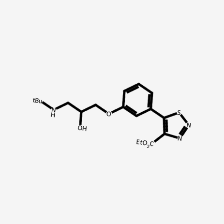 CCOC(=O)c1nnsc1-c1cccc(OCC(O)CNC(C)(C)C)c1